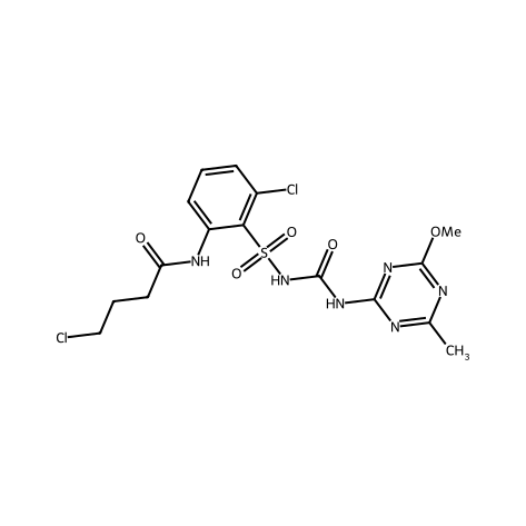 COc1nc(C)nc(NC(=O)NS(=O)(=O)c2c(Cl)cccc2NC(=O)CCCCl)n1